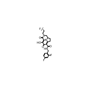 O=C(NCc1ccc(F)cc1F)c1c2n3c(c(O)c1=O)C(=O)N(CCC(F)(F)F)CC3CC2